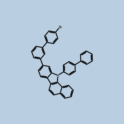 Brc1ccc(-c2cccc(-c3ccc4c5ccc6ccccc6c5n(-c5ccc(-c6ccccc6)cc5)c4c3)c2)cc1